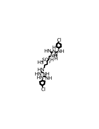 N=C(NCCCCCCNC(=N)NC(=N)Nc1ccc(Cl)cc1)NC(=N)Nc1ccc(Cl)cc1.O=S(=O)(O)S